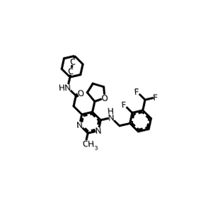 Cc1nc(CC(=O)NC23CCC(CC2)CC3)c(C2CCCO2)c(NCc2cccc(C(F)F)c2F)n1